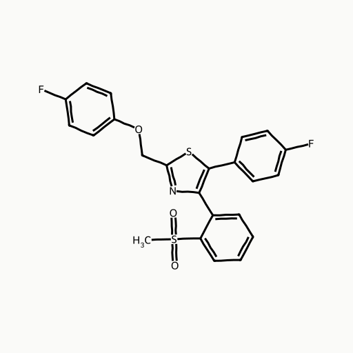 CS(=O)(=O)c1ccccc1-c1nc(COc2ccc(F)cc2)sc1-c1ccc(F)cc1